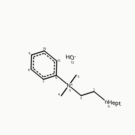 CCCCCCCCC[N+](C)(C)c1ccccc1.[OH-]